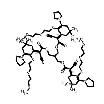 CSCCSCCSC1=C(N2CCCC2)CC(C)(C)C/C1=C(/C#N)C(=O)OCC(COC(=O)/C(C#N)=C1\CC(C)(C)CC(N2CCCC2)=C1SCCSCCSC)COC(=O)/C(C#N)=C1\CC(C)(C)CC(N2CCCC2)=C1SCCSCCSC